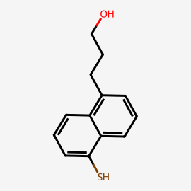 OCCCc1cccc2c(S)cccc12